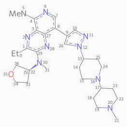 CCc1nc2c(NC)ncc(-c3cnn(C4CCN(C5CCN(C)CC5)CC4)c3)c2nc1N(C)[C@H]1CCOC1